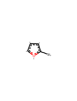 [Si]c1ccco1